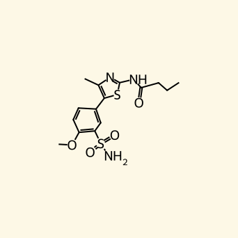 CCCC(=O)Nc1nc(C)c(-c2ccc(OC)c(S(N)(=O)=O)c2)s1